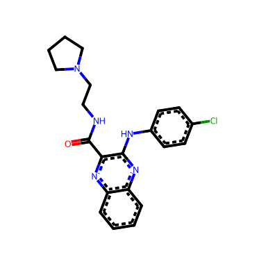 O=C(NCCN1CCCC1)c1nc2ccccc2nc1Nc1ccc(Cl)cc1